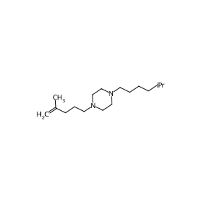 C=C(C)CCCN1CCN(CCCCC(C)C)CC1